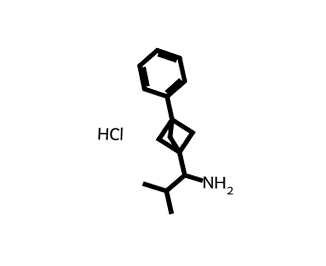 CC(C)C(N)C12CC(c3ccccc3)(C1)C2.Cl